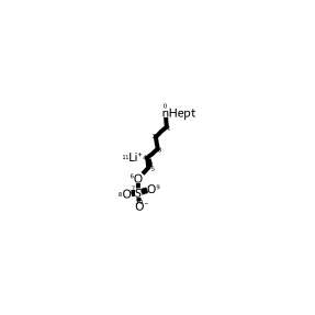 CCCCCCCCCCC=COS(=O)(=O)[O-].[Li+]